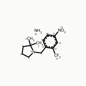 CC1(C)CCCN1Cc1ccc([N+](=O)[O-])cc1C(F)(F)F.N